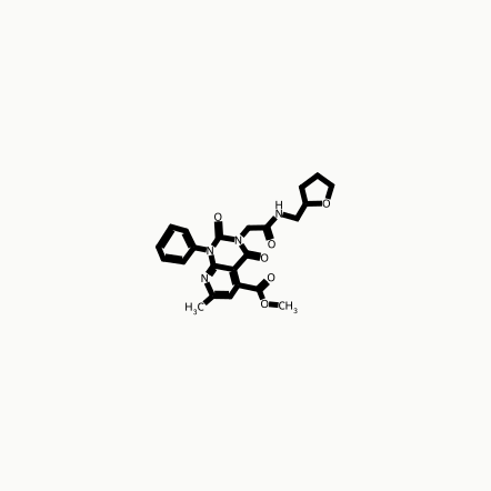 COC(=O)c1cc(C)nc2c1c(=O)n(CC(=O)NCC1CCCO1)c(=O)n2-c1ccccc1